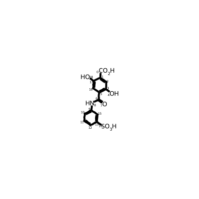 O=C(O)c1cc(O)c(C(=O)Nc2cccc(S(=O)(=O)O)c2)cc1O